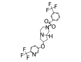 O=S(=O)(c1cccc(C(F)(F)F)c1)N1CCN2C[C@H](Oc3ccc(C(F)(F)F)nc3)C[C@H]2C1